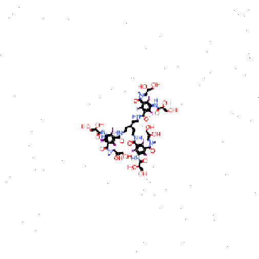 CN(CC(O)CO)C(=O)c1c(I)c(NC(=O)C(O)CO)c(I)c(C(=O)NCCC(CCNC(=O)c2c(I)c(NC(=O)C(O)CO)c(I)c(C(=O)N(C)CC(O)CO)c2I)CCNC(=O)c2c(I)c(NC(=O)C(O)CO)c(I)c(C(=O)N(C)CC(O)CO)c2I)c1I